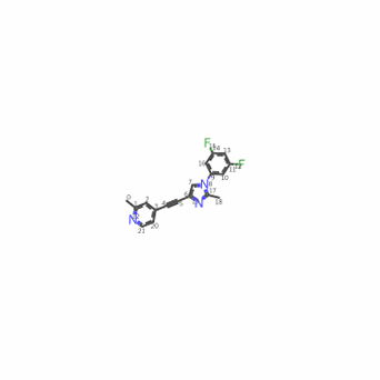 Cc1cc(C#Cc2cn(-c3cc(F)cc(F)c3)c(C)n2)ccn1